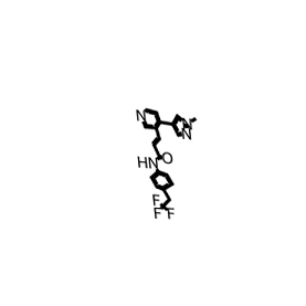 Cn1cc(-c2ccncc2C=CC(=O)Nc2ccc(CC(F)(F)F)cc2)cn1